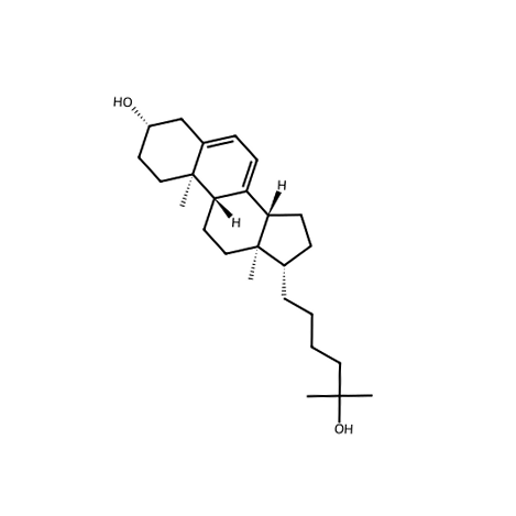 CC(C)(O)CCCC[C@H]1CC[C@H]2C3=CC=C4C[C@@H](O)CC[C@]4(C)[C@H]3CC[C@]12C